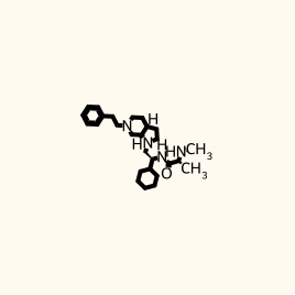 CN[C@@H](C)C(=O)N[C@H](CN1CC[C@H]2CCN(CCc3ccccc3)C[C@H]21)C1CCCCC1